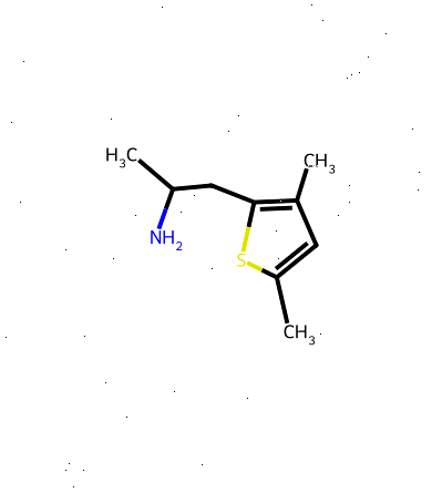 Cc1cc(C)c(CC(C)N)s1